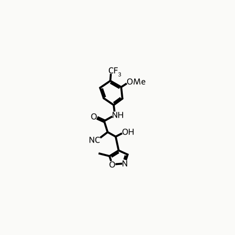 COc1cc(NC(=O)C(C#N)C(O)c2cnoc2C)ccc1C(F)(F)F